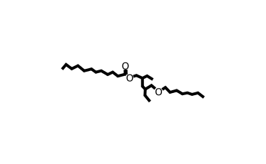 CCCCCCCCCCCC(=O)OCC(CC)CC(CC)COCCCCCCCC